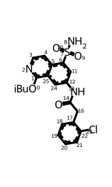 CC(C)COc1nccc2c(S(N)(=O)=O)cc(NC(=O)Cc3ccccc3Cl)cc12